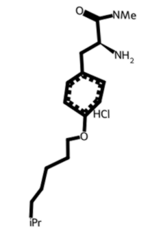 CNC(=O)[C@@H](N)Cc1ccc(OCCCCCC(C)C)cc1.Cl